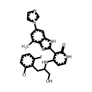 Cc1cc(-n2ccnc2)cc2[nH]c(-c3c(NC(CO)Cc4c(F)cccc4Cl)cc[nH]c3=O)nc12